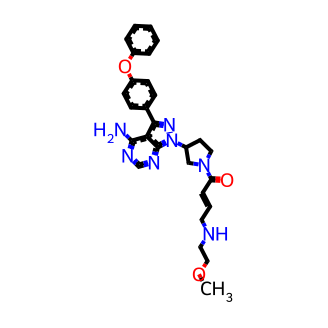 COCCNCC=CC(=O)N1CCC(n2nc(-c3ccc(Oc4ccccc4)cc3)c3c(N)ncnc32)C1